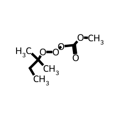 CCC(C)(C)OOOC(=O)OC